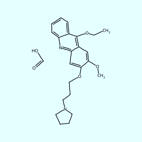 CCOc1c2ccccc2nc2cc(OCCCN3CCCC3)c(OC)cc12.O=CO